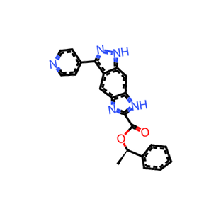 C[C@@H](OC(=O)c1nc2cc3c(-c4ccncc4)n[nH]c3cc2[nH]1)c1ccccc1